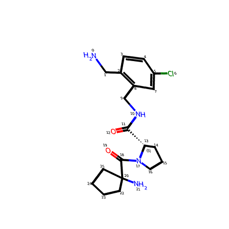 NCc1ccc(Cl)cc1CNC(=O)[C@@H]1CCCN1C(=O)C1(N)CCCC1